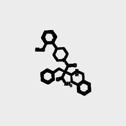 COc1ccccc1C1CCN(C(=O)[C@@](Cc2ccccc2)(C(N)=O)[C@@H]2Cc3ccccc3CN2)CC1